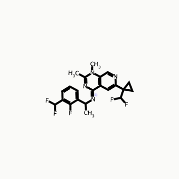 Cc1n/c(=N\C(C)c2cccc(C(F)F)c2F)c2cc(C3(C(F)F)CC3)ncc2n1C